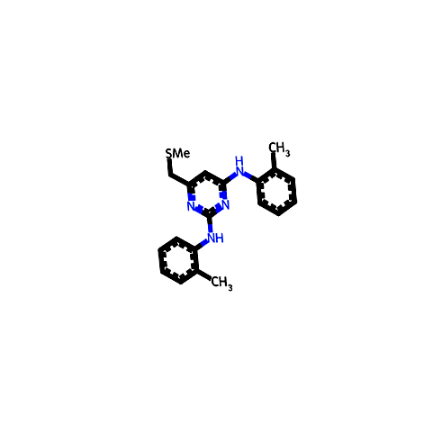 CSCc1cc(Nc2ccccc2C)nc(Nc2ccccc2C)n1